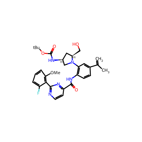 C=C(C)c1ccc(NC(=O)c2ccnc(-c3c(F)cccc3OC)n2)c(N2C[C@@H](NC(=O)OC(C)(C)C)C[C@H]2CO)c1